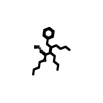 CCCCOC(=O)C(CCCC)=C(CCCC)Cc1ccccc1.N